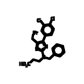 CC(C)Cc1sc(N(CCC(=O)O)Cc2ccccc2)nc1-c1ccc(Cl)c(Cl)c1